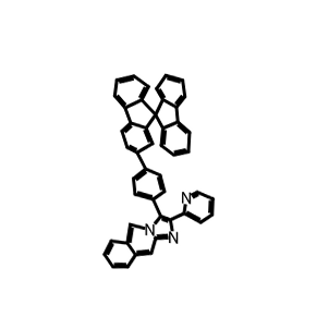 c1ccc(-c2nc3cc4ccccc4cn3c2-c2ccc(-c3ccc4c(c3)C3(c5ccccc5-c5ccccc53)c3ccccc3-4)cc2)nc1